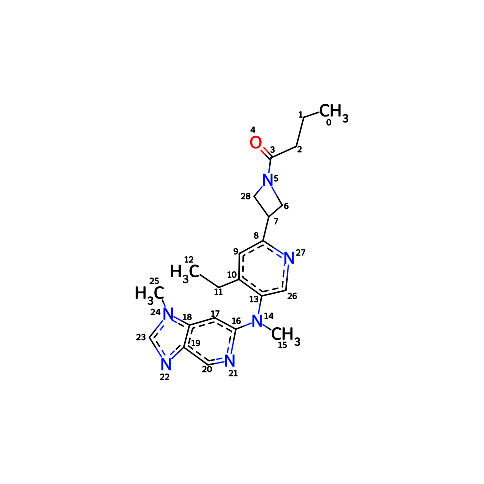 CCCC(=O)N1CC(c2cc(CC)c(N(C)c3cc4c(cn3)ncn4C)cn2)C1